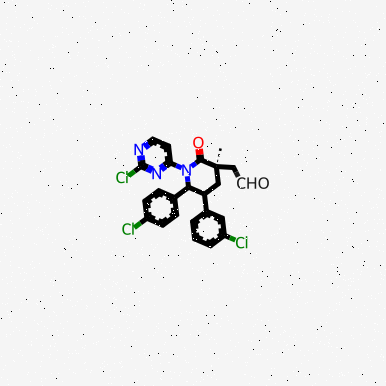 C[C@]1(CC=O)CC(c2cccc(Cl)c2)C(c2ccc(Cl)cc2)N(c2ccnc(Cl)n2)C1=O